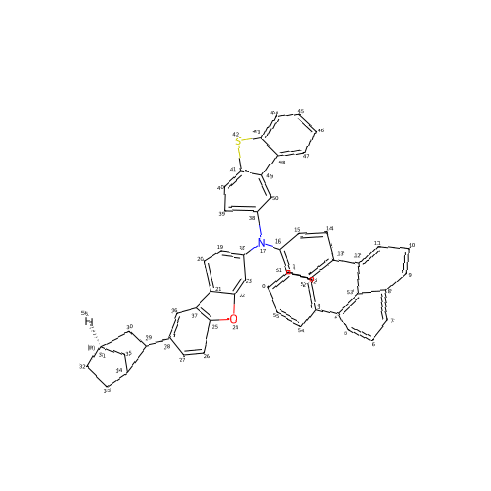 c1ccc(-c2cccc3cccc(-c4ccc(N(c5ccc6c(c5)oc5ccc(C7C[C@@H]8CCC7C8)cc56)c5ccc6sc7ccccc7c6c5)cc4)c23)cc1